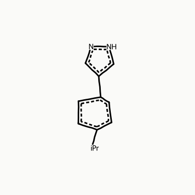 CC(C)c1ccc(-c2cn[nH]c2)cc1